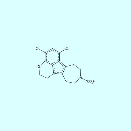 O=C(O)N1CCc2c(n3c4c(c(Cl)cc(Cl)c24)OCC3)CC1